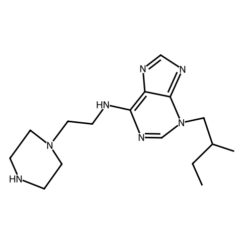 CCC(C)Cn1cnc(NCCN2CCNCC2)c2ncnc1-2